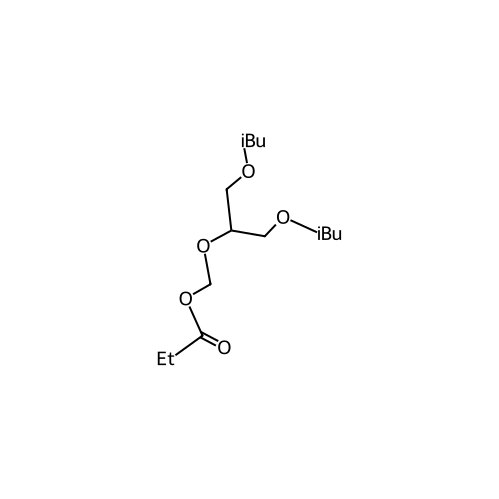 CCC(=O)OCOC(COC(C)CC)COC(C)CC